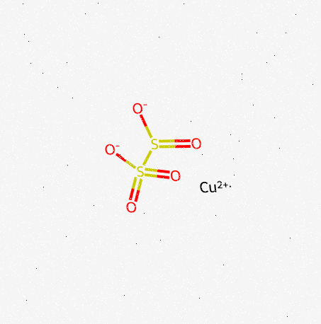 O=S([O-])S(=O)(=O)[O-].[Cu+2]